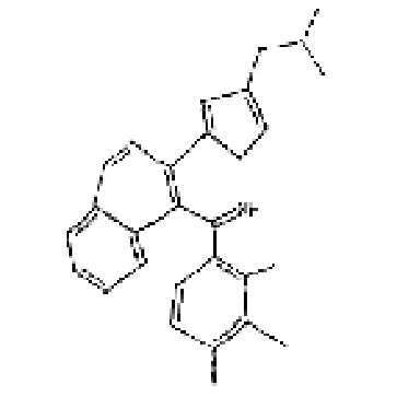 Cc1ccc(C(=N)c2c(C3=CC(CN(C)C)=CC3)ccc3ccccc23)c(C)c1C